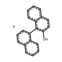 Oc1ccc2ccccc2c1-c1cccc2ccccc12.[Ti]